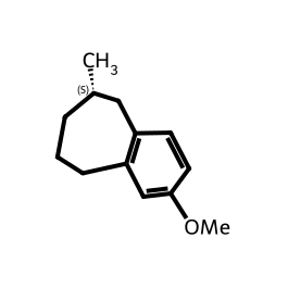 COc1ccc2c(c1)CCC[C@H](C)C2